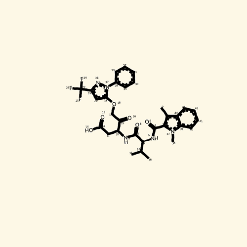 Cc1c(C(=O)N[C@H](C(=O)NC(CC(=O)O)C(=O)COc2cc(C(F)(F)F)nn2-c2ccccc2)C(C)C)n(C)c2ccccc12